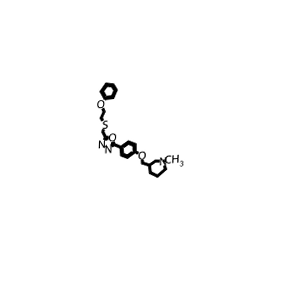 CN1CCCC(COc2ccc(-c3nnc(CSCCOc4ccccc4)o3)cc2)C1